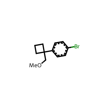 COCC1(c2ccc(Br)cc2)CCC1